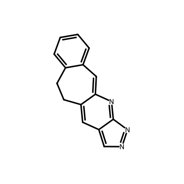 C1=c2cc3c(nc2N=N1)=Cc1ccccc1CC3